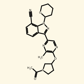 CC(=O)N1CCC(Oc2ncc(-c3nn(C4CCCCO4)c4c(C#N)cccc34)nc2C)C1